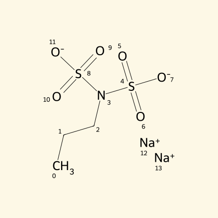 CCCN(S(=O)(=O)[O-])S(=O)(=O)[O-].[Na+].[Na+]